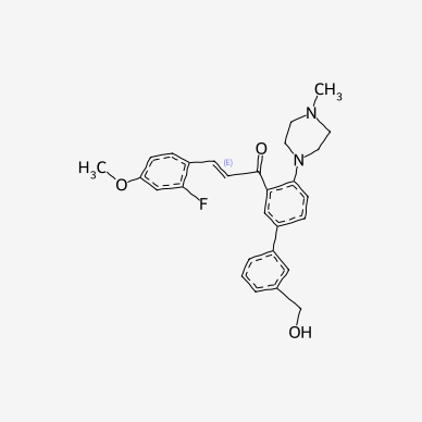 COc1ccc(/C=C/C(=O)c2cc(-c3cccc(CO)c3)ccc2N2CCN(C)CC2)c(F)c1